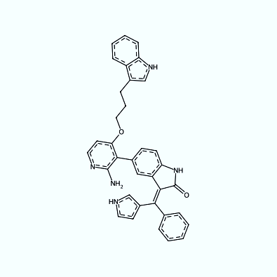 Nc1nccc(OCCCc2c[nH]c3ccccc23)c1-c1ccc2c(c1)C(=C(c1ccccc1)c1cc[nH]c1)C(=O)N2